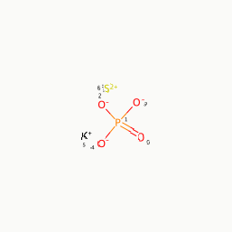 O=P([O-])([O-])[O-].[K+].[S+2]